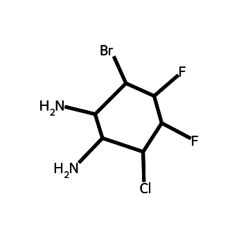 NC1C(N)C(Br)C(F)C(F)C1Cl